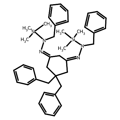 C[Si](C)(C)N(Cc1ccccc1)N=C1CC(=NN(Cc2ccccc2)[Si](C)(C)C)CC(Cc2ccccc2)(Cc2ccccc2)C1